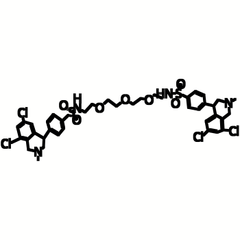 CN1Cc2c(Cl)cc(Cl)cc2C(c2ccc(S(=O)(=O)NCCOCCOCCOCCNS(=O)(=O)c3ccc(C4CN(C)Cc5c(Cl)cc(Cl)cc54)cc3)cc2)C1